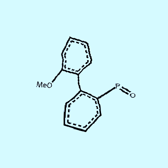 COc1ccccc1-c1ccccc1P=O